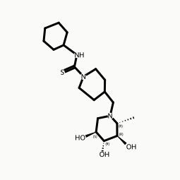 C[C@@H]1[C@@H](O)[C@H](O)[C@@H](O)CN1CC1CCN(C(=S)NC2CCCCC2)CC1